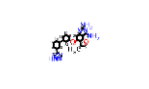 CC1COc2c1c(Oc1cccc(-c3cccc(-c4nn[nH]n4)c3)c1)cc1nc(N)nc(N)c21